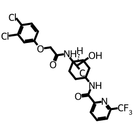 O=C(COc1ccc(Cl)c(Cl)c1)NC12CCC(NC(=O)c3cccc(C(F)(F)F)n3)(CC1)C[C@@H]2O